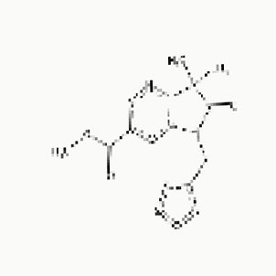 COC(=O)c1cnc2c(c1)N(Cc1ccsc1)C(=O)C2(C)C